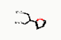 COCC(COC)c1ccco1